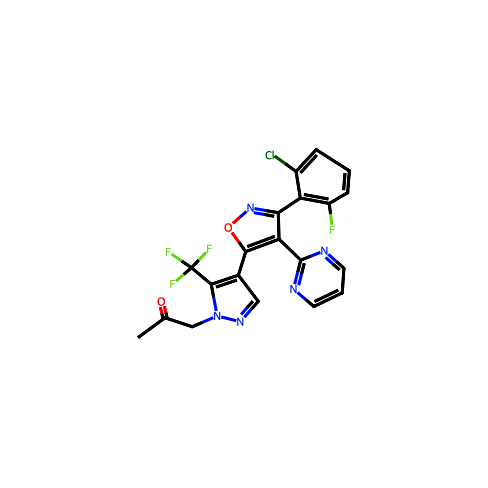 CC(=O)Cn1ncc(-c2onc(-c3c(F)cccc3Cl)c2-c2ncccn2)c1C(F)(F)F